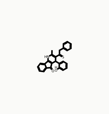 CC1=C(C(=S)Cc2ccccc2)C(c2ccccc2O)C2=C(N1)c1ccccc1C2=O